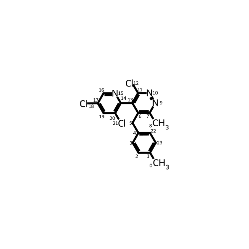 Cc1ccc(Cc2c(C)nnc(Cl)c2-c2ncc(Cl)cc2Cl)cc1